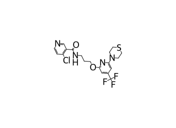 O=C(NCCCOc1cc(C(F)(F)F)cc(N2CCSCC2)n1)c1cnccc1Cl